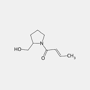 CC=CC(=O)N1CCCC1CO